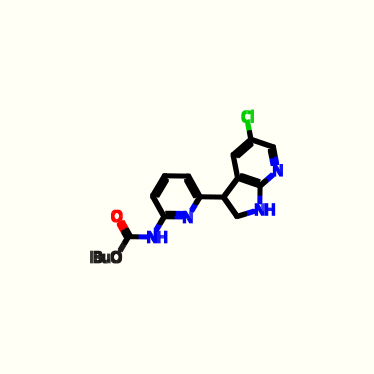 CC(C)COC(=O)Nc1cccc(C2CNc3ncc(Cl)cc32)n1